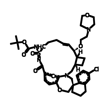 CC(C)(C)OC(=O)N[S@]1(=O)=NC(=O)c2ccc3c(c2)N(C[C@@H]2CC[C@H]2[C@@H](OCCN2CCOCC2)/C=C/CCC1)C[C@@]1(CCCc2cc(Cl)ccc21)CO3